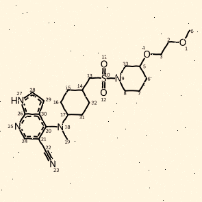 COCCOC1CCCN(S(=O)(=O)CC2CCC(N(C)c3c(C#N)cnc4[nH]ccc34)CC2)C1